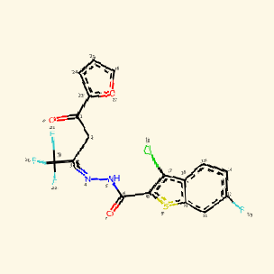 O=C(C/C(=N\NC(=O)c1sc2cc(F)ccc2c1Cl)C(F)(F)F)c1ccco1